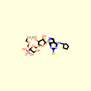 O=C(O)COC[C@@](CO)(OC[C@H]1O[C@@H](n2ncc3c(NC4CCCC4)nc(Cl)nc32)[C@H](O)[C@@H]1O)P(=O)(O)O